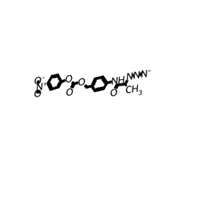 C[C@H](N=[N+]=[N-])C(=O)Nc1ccc(COC(=O)Oc2ccc([N+](=O)[O-])cc2)cc1